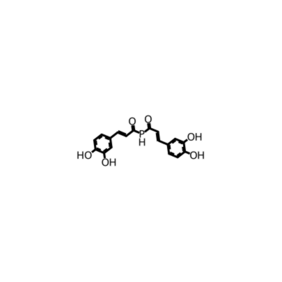 O=C(/C=C/c1ccc(O)c(O)c1)PC(=O)/C=C/c1ccc(O)c(O)c1